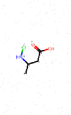 CC(CC(=O)O)NCl